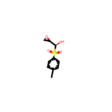 Cc1ccc(S(=O)(=O)[C@H](O)C2CO2)cc1